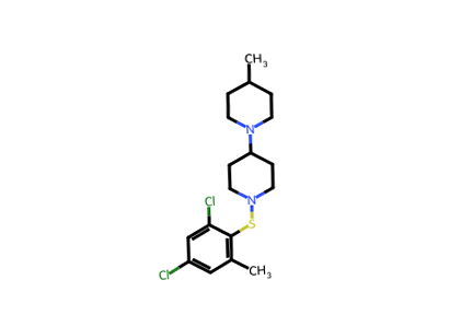 Cc1cc(Cl)cc(Cl)c1SN1CCC(N2CCC(C)CC2)CC1